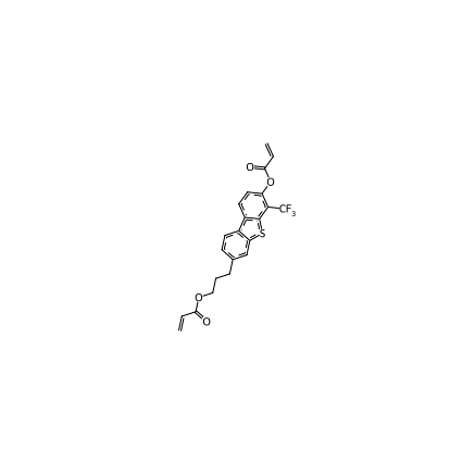 C=CC(=O)OCCCc1ccc2c(c1)sc1c(C(F)(F)F)c(OC(=O)C=C)ccc12